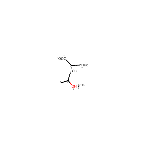 CC(O)C(=O)[O-].CCCCCCCC(=O)[O-].[Sn+2]